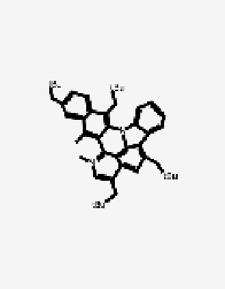 Cc1c2cc(CC(C)(C)C)ccc2c(CC(C)(C)C)c2c1c1c3c(cc(CC(C)(C)C)c4c5ccccc5n2c43)c(CC(C)(C)C)c[n+]1C